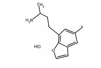 CC(N)CCc1cc(F)cc2ccoc12.Cl